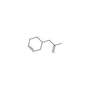 [CH]=C(C)CC1CC=CCC1